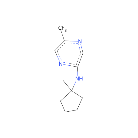 CC1(Nc2cnc(C(F)(F)F)cn2)CCCC1